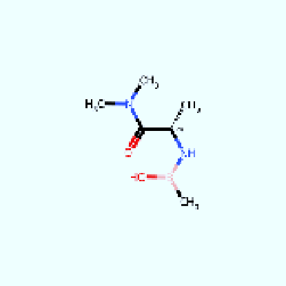 CB(O)N[C@@H](C)C(=O)N(C)C